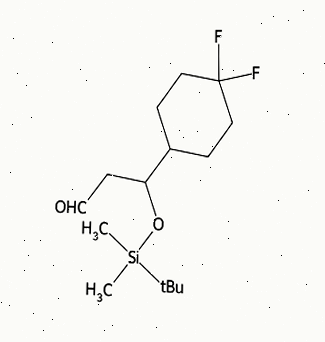 CC(C)(C)[Si](C)(C)OC(CC=O)C1CCC(F)(F)CC1